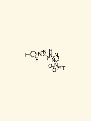 C[C@H](Nc1nccc(N2C(=O)OC[C@@H]2CF)n1)c1cn(-c2ccc(F)cc2F)cn1